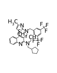 CCN(CC1CCCC1)c1nc2ccccc2c(C)c1CN(Cc1cc(C(F)(F)F)cc(C(F)(F)F)c1)c1nc(C)cs1